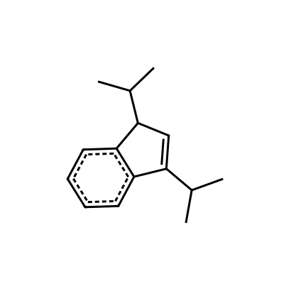 CC(C)C1=CC(C(C)C)c2ccccc21